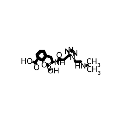 CC(C)NCCn1nnnc1CC(=O)NC1Cc2cccc(C(=O)O)c2OB1O